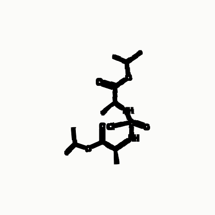 CC(C)OC(=O)[C@H](C)NP(=O)(Cl)N[C@@H](C)C(=O)OC(C)C